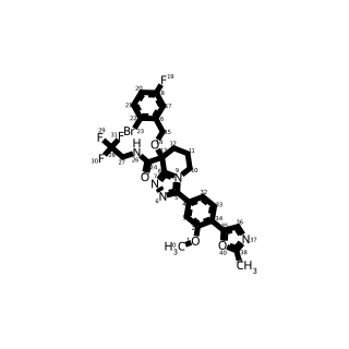 COc1cc(-c2nnc3n2CCCC3(OCc2cc(F)ccc2Br)C(=O)NCC(F)(F)F)ccc1-c1cnc(C)o1